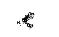 Nc1nc(OCc2ccc([N+](=O)[O-])cc2)nc2c1ncn2[C@@H]1O[C@H](CO)[C@@H](O)[C@H]1O